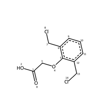 O=C(O)COc1c(CCl)cccc1CCl